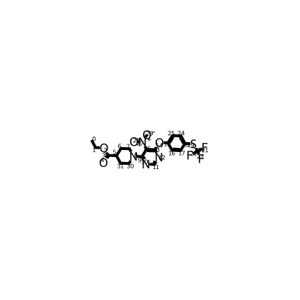 CCOC(=O)C1CCN(c2ncnc(Oc3ccc(SC(F)(F)F)cc3)c2[N+](=O)[O-])CC1